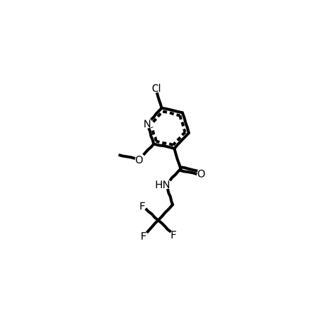 COc1nc(Cl)ccc1C(=O)NCC(F)(F)F